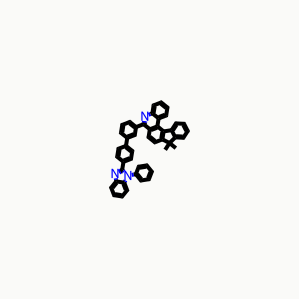 CC1(C)c2ccccc2-c2c1ccc1c(-c3cccc(-c4ccc(-c5nc6ccccc6n5-c5ccccc5)cc4)c3)nc3ccccc3c21